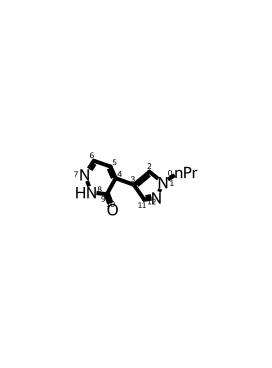 CCCn1cc(-c2ccn[nH]c2=O)cn1